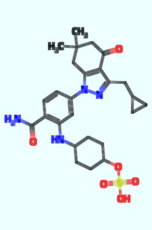 CC1(C)CC(=O)c2c(CC3CC3)nn(-c3ccc(C(N)=O)c(NC4CCC(OS(=O)(=O)O)CC4)c3)c2C1